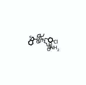 CCC1(C(=O)N(CCCS(N)(=O)=O)Cc2ccc(Cl)cc2)CCN1C(=O)c1csc2ccccc12